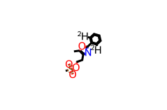 [2H]c1cccc([2H])c1-c1nc(CCOS(C)(=O)=O)c(C)o1